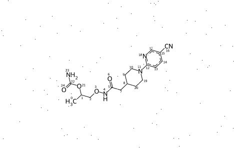 CC(CONC(=O)CC1CCN(c2ccc(C#N)cn2)CC1)OC(N)=O